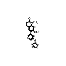 CN1C(=O)CCc2cc(-c3cncc(OC4CCNC4)c3)ccc21.Cl